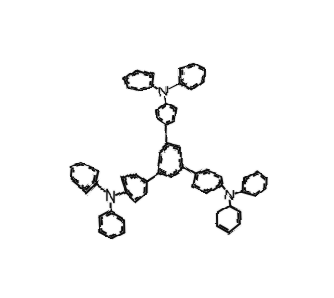 C1=CCC(N(c2ccccc2)c2ccc(-c3cc(-c4ccc(N(c5ccccc5)c5ccccc5)cc4)cc(-c4ccc(N(c5ccccc5)c5ccccc5)cc4)c3)cc2)C=C1